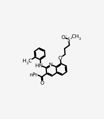 CCCC(=O)c1cc2cccc(OCCC[S+](C)[O-])c2nc1Nc1ccccc1C